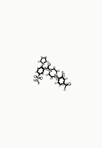 CNS(=O)(=O)c1ccc(N2CCCC2)c(C(=O)N2CCN(c3ccc(C(C)=O)cc3F)CC2)c1